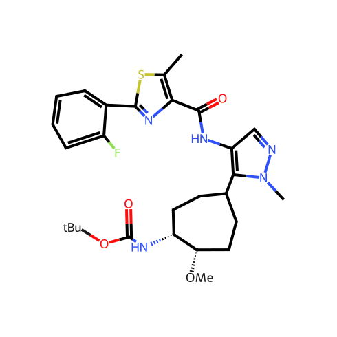 CO[C@H]1CCC(c2c(NC(=O)c3nc(-c4ccccc4F)sc3C)cnn2C)CC[C@H]1NC(=O)OC(C)(C)C